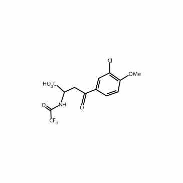 COc1ccc(C(=O)CC(NC(=O)C(F)(F)F)C(=O)O)cc1Cl